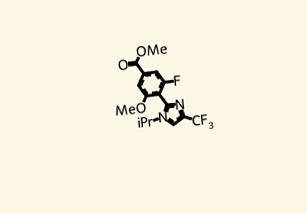 COC(=O)c1cc(F)c(-c2nc(C(F)(F)F)cn2C(C)C)c(OC)c1